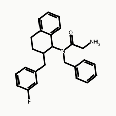 NCC(=O)N(Cc1ccccc1)C1c2ccccc2CCC1Cc1cccc(F)c1